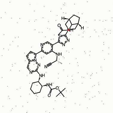 CC(=O)NC1[C@@H]2CC[C@H]1CN(c1nnc(-c3cnc(-c4ccc5cnc(N[C@@H]6CCCC[C@@H]6NC(=O)OC(C)(C)C)nn45)cc3N[C@H](C)C#N)s1)C2